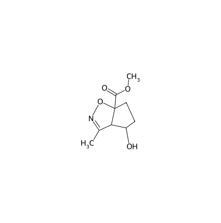 COC(=O)C12CCC(O)C1C(C)=NO2